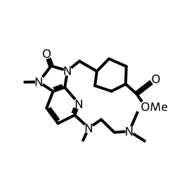 COC(=O)C1CCC(Cn2c(=O)n(C)c3ccc(N(C)CCN(C)C)nc32)CC1